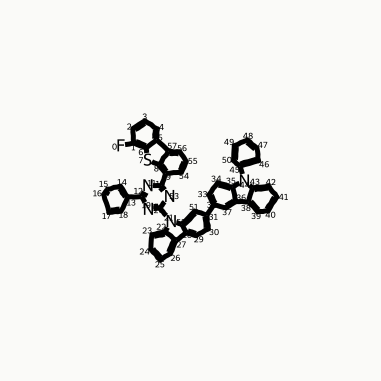 Fc1cccc2c1sc1c(-c3nc(-c4ccccc4)nc(-n4c5ccccc5c5ccc(-c6ccc7c(c6)c6ccccc6n7-c6ccccc6)cc54)n3)cccc12